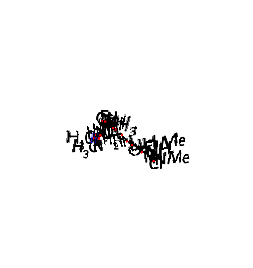 C=C(/C=C\C(=C/C)c1scnc1C)CNC(=O)C1C[C@H](O)CN1C(=O)[C@@H](NC(=O)C1(F)CC1)C(C)(C)SC[C@H]1CC[C@H](CNCCNC(=O)c2ccc(Nc3ncc(Cl)c(NC)n3)c(OC)c2)CC1